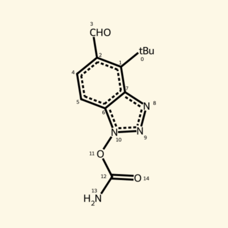 CC(C)(C)c1c(C=O)ccc2c1nnn2OC(N)=O